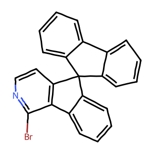 Brc1nccc2c1-c1ccccc1C21c2ccccc2-c2ccccc21